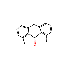 Cc1cccc2c1C(=O)c1c(C)cccc1C2